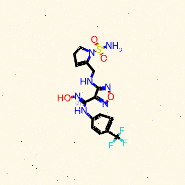 NS(=O)(=O)N1CCC=C1CNc1nonc1/C(=N/O)Nc1ccc(C(F)(F)F)cc1